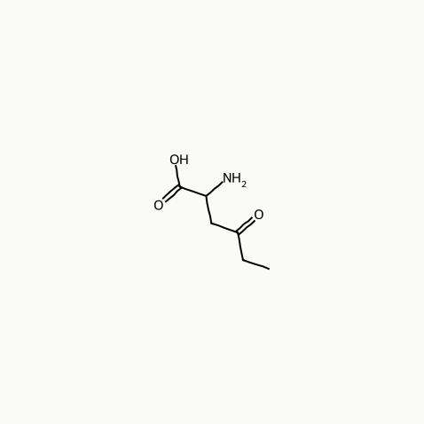 CCC(=O)CC(N)C(=O)O